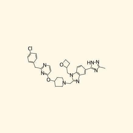 Cc1n[nH]c(-c2ccc3c(c2)nc(CN2CCC(Oc4ccnc(Cc5ccc(Cl)cc5)n4)CC2)n3CC2CCO2)n1